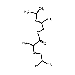 CC(O)COC(C)C(=O)OCC(C)OC(C)C